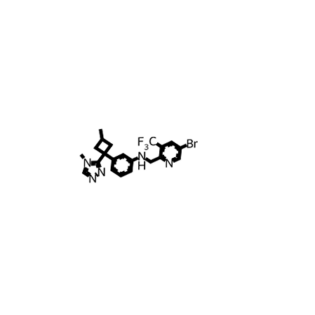 CC1CC(c2cccc(NCc3ncc(Br)cc3C(F)(F)F)c2)(c2nncn2C)C1